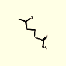 [CH2]C(Cl)CCOC(N)=O